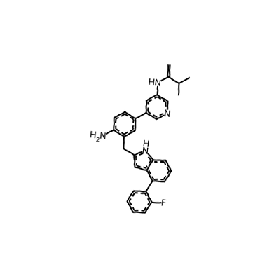 C=C(Nc1cncc(-c2ccc(N)c(Cc3cc4c(-c5ccccc5F)cccc4[nH]3)c2)c1)C(C)C